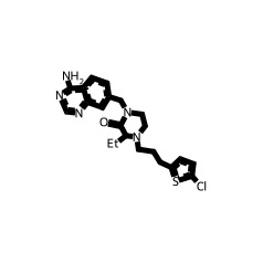 CCC1C(=O)N(Cc2ccc3c(N)ncnc3c2)CCN1CCCc1ccc(Cl)s1